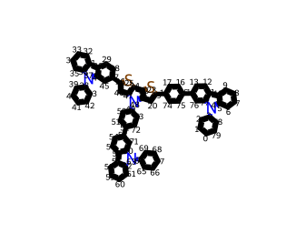 c1ccc(-n2c3ccccc3c3ccc(-c4ccc(-c5cc6c(s5)c5sc(-c7ccc8c9ccccc9n(-c9ccccc9)c8c7)cc5n6-c5ccc(-c6ccc7c8ccccc8n(-c8ccccc8)c7c6)cc5)cc4)cc32)cc1